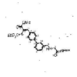 CCCCCCC(=O)CNCc1cccc(-c2ccc(/C=C(\CC(=O)OCC)C(=O)OC)cc2)c1